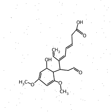 C=C/C(=C\C=C\CC(=O)O)C(CC=O)C1C(OC)=CC(OC)=CC1O